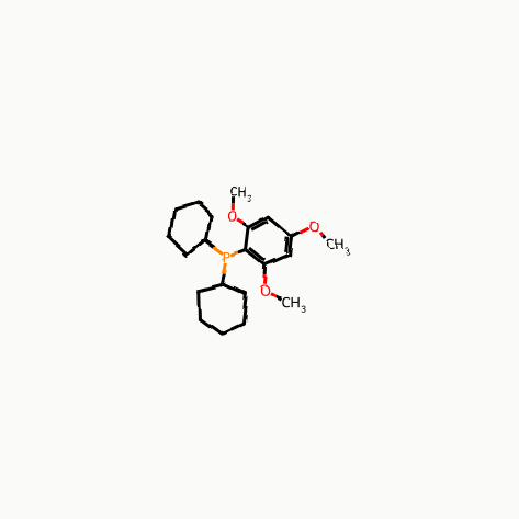 COc1cc(OC)c(P(C2CCCCC2)C2CCCCC2)c(OC)c1